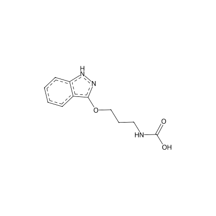 O=C(O)NCCCOc1n[nH]c2ccccc12